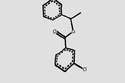 CC(OC(=O)c1cccc(Cl)c1)c1ccccc1